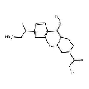 CC(C)CC(=O)N1CCC(N(CC(C)C)c2ccc(C(C)CC(=O)O)cc2[N+](=O)[O-])CC1